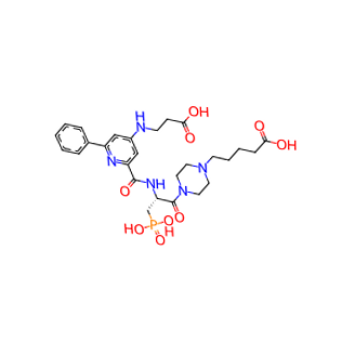 O=C(O)CCCCN1CCN(C(=O)[C@H](CP(=O)(O)O)NC(=O)c2cc(NCCC(=O)O)cc(-c3ccccc3)n2)CC1